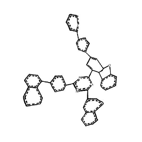 C1=C(c2ccc(-c3ccccc3)cc2)C=C(c2nc(-c3ccc(-c4cccc5ccccc45)cc3)nc(-c3ccc4ccccc4c3)n2)C2c3ccccc3OC12